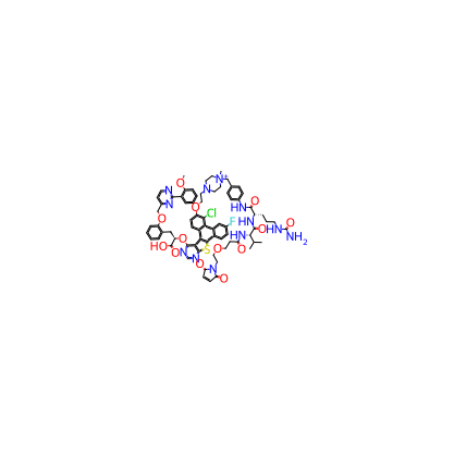 COc1ccccc1-c1nccc(COc2ccccc2C[C@@H](Oc2ncnc3sc4c5ccc(F)cc5c5c(Cl)c(OCCN6CC[N+](C)(Cc7ccc(NC(=O)[C@H](CCCNC(N)=O)NC(=O)[C@@H](NC(=O)CCOCCN8C(=O)C=CC8=O)C(C)C)cc7)CC6)ccc5c4c23)C(=O)O)n1